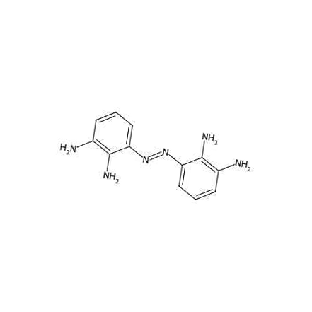 Nc1cccc(/N=N/c2cccc(N)c2N)c1N